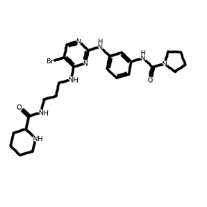 O=C(NCCCNc1nc(Nc2cccc(NC(=O)N3CCCC3)c2)ncc1Br)C1CCCCN1